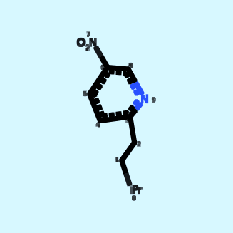 CC(C)CCc1ccc([N+](=O)[O-])cn1